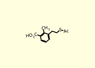 CC(=O)SCCc1cccc(C(=O)O)c1C